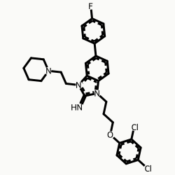 N=c1n(CCCOc2ccc(Cl)cc2Cl)c2ccc(-c3ccc(F)cc3)cc2n1CCN1CCCCC1